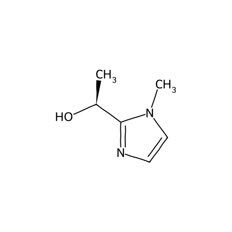 C[C@H](O)c1nccn1C